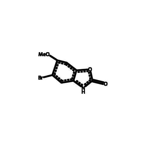 COc1cc2oc(=O)[nH]c2cc1Br